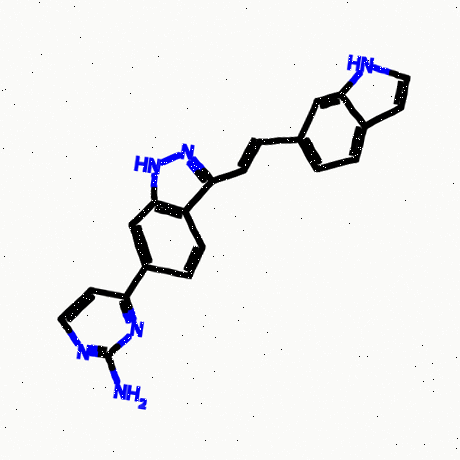 Nc1nccc(-c2ccc3c(/C=C/c4ccc5cc[nH]c5c4)n[nH]c3c2)n1